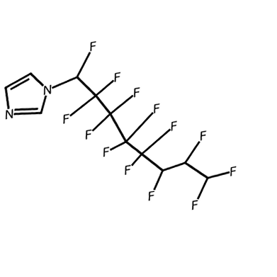 FC(F)C(F)C(F)C(F)(F)C(F)(F)C(F)(F)C(F)(F)C(F)n1ccnc1